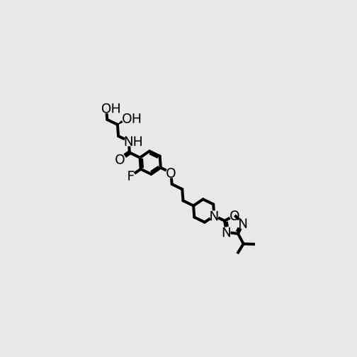 CC(C)c1noc(N2CCC(CCCOc3ccc(C(=O)NC[C@H](O)CO)c(F)c3)CC2)n1